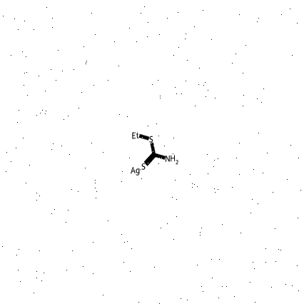 CCSC(N)=S.[Ag]